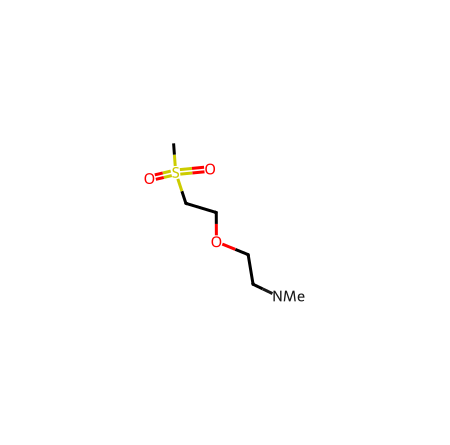 CNCCOCCS(C)(=O)=O